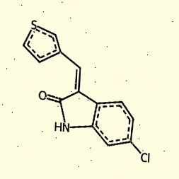 O=C1Nc2cc(Cl)ccc2C1=Cc1ccsc1